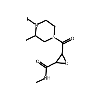 CNC(=O)C1OC1C(=O)N1CCN(I)C(C)C1